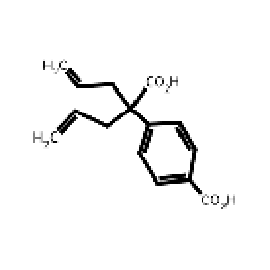 C=CCC(CC=C)(C(=O)O)c1ccc(C(=O)O)cc1